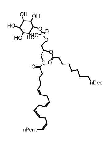 CCCCC/C=C\C/C=C\C/C=C\C/C=C\CCCC(=O)OC[C@H](COP(=O)(O)OC1C(O)C(O)C(O)[C@@H](O)C1O)OC(=O)CCCCCCCCCCCCCCCCC